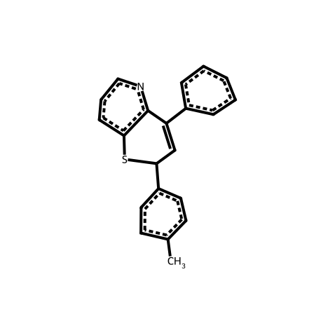 Cc1ccc(C2C=C(c3ccccc3)c3ncccc3S2)cc1